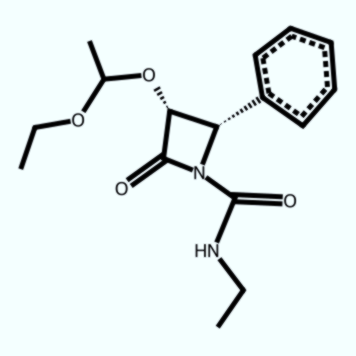 CCNC(=O)N1C(=O)[C@H](OC(C)OCC)[C@@H]1c1ccccc1